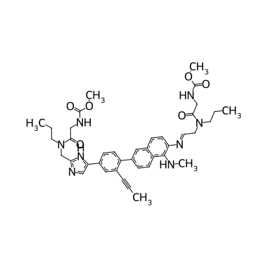 CC#Cc1cc(-c2cnc(CN(CCC)C(=O)CNC(=O)OC)[nH]2)ccc1-c1ccc2c(NC)c(/N=C/CN(CCC)C(=O)CNC(=O)OC)ccc2c1